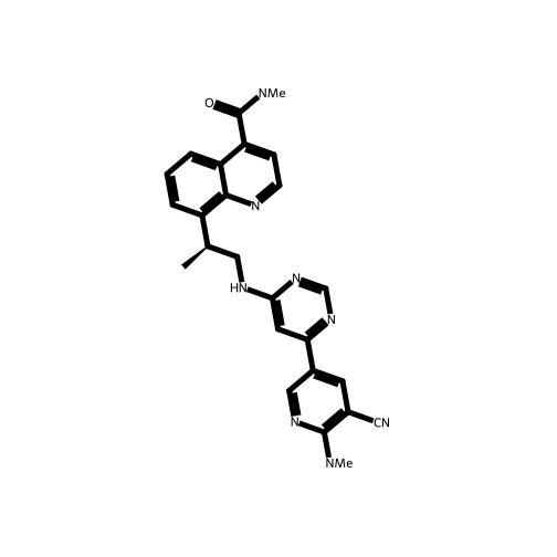 CNC(=O)c1ccnc2c([C@H](C)CNc3cc(-c4cnc(NC)c(C#N)c4)ncn3)cccc12